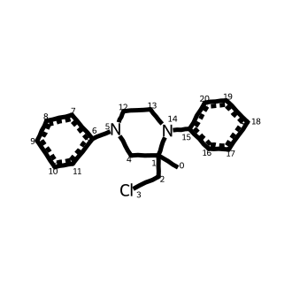 CC1(CCl)CN(c2ccccc2)CCN1c1ccccc1